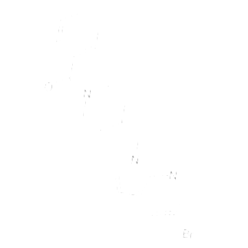 O=C(c1ccccc1)N1CCC(Cn2ccc3cc(Br)cnc32)CC1